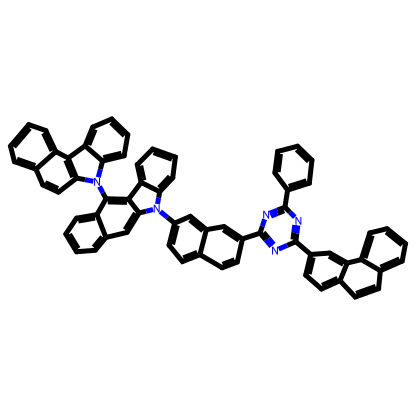 c1ccc(-c2nc(-c3ccc4ccc(-n5c6ccccc6c6c(-n7c8ccccc8c8c9ccccc9ccc87)c7ccccc7cc65)cc4c3)nc(-c3ccc4ccc5ccccc5c4c3)n2)cc1